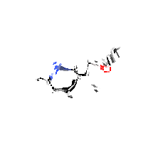 CCCOC[C@H](C)c1ccc(C)nc1